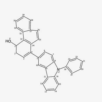 OC1CC=C(c2ccc3c(c2)c2ccccc2n3-c2ccccc2)c2ccc3ccccc3c21